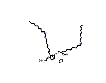 CCCCCCCC/C=C\CCCCCCCC1=[N+](CCO)CCN1CCOC(O)CCCCCCC/C=C\CCCCCCCC.[Cl-]